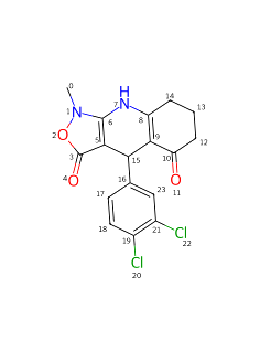 Cn1oc(=O)c2c1NC1=C(C(=O)CCC1)C2c1ccc(Cl)c(Cl)c1